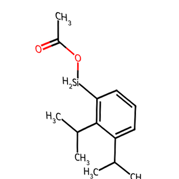 CC(=O)O[SiH2]c1cccc(C(C)C)c1C(C)C